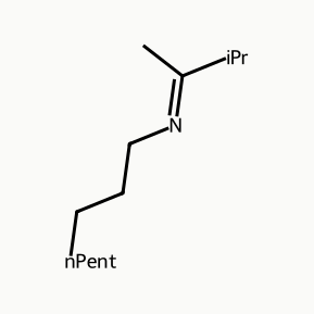 CCCCCCCCN=C(C)C(C)C